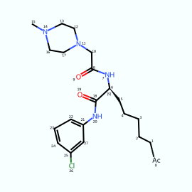 CC(=O)CCCCC[C@H](NC(=O)CN1CCN(C)CC1)C(=O)Nc1cccc(Cl)c1